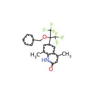 Cc1cc(=O)[nH]c2c(C)cc(C(OCc3ccccc3)(C(F)(F)F)C(F)(F)F)cc12